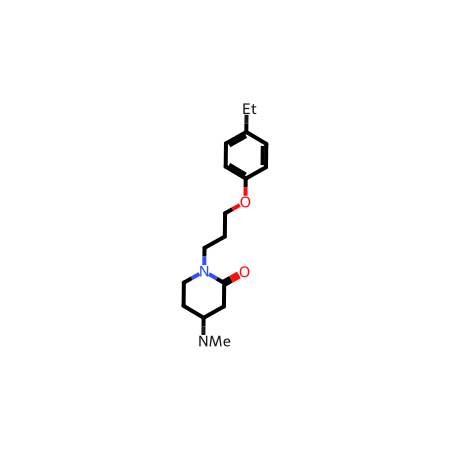 CCc1ccc(OCCCN2CCC(NC)CC2=O)cc1